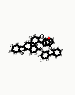 c1ccc(-n2c3ccccc3c3cccc(N(c4ccc5c(ccc6c7ccccc7sc56)c4)c4cccc5oc6ccccc6c45)c32)cc1